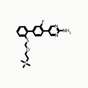 CS(C)(C)CCOCSc1ccccc1-c1ccc(-c2cnc(N)nc2)c(F)c1